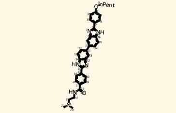 CCCCCOc1ccc(-c2nc3cc(-c4ccc5[nH]c(-c6ccc(C(=O)NCCN(C)C)cc6)nc5c4)ccc3[nH]2)cc1